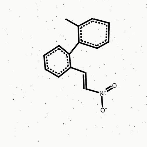 Cc1ccccc1-c1ccccc1C=C[N+](=O)[O-]